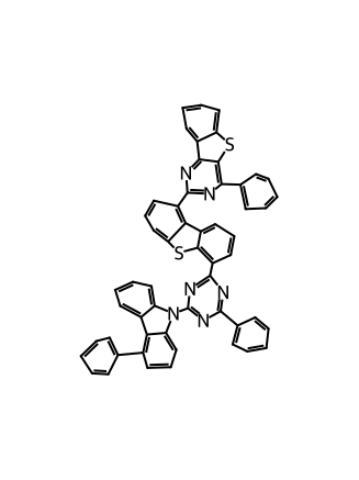 c1ccc(-c2nc(-c3cccc4c3sc3cccc(-c5nc(-c6ccccc6)c6sc7ccccc7c6n5)c34)nc(-n3c4ccccc4c4c(-c5ccccc5)cccc43)n2)cc1